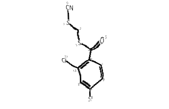 N#CSCSC(=O)c1ccc(Cl)cc1Cl